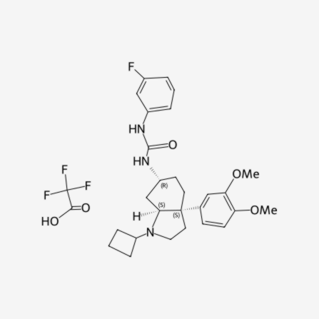 COc1ccc([C@@]23CC[C@@H](NC(=O)Nc4cccc(F)c4)C[C@@H]2N(C2CCC2)CC3)cc1OC.O=C(O)C(F)(F)F